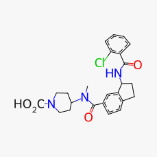 CN(C(=O)c1ccc2c(c1)C(NC(=O)c1ccccc1Cl)CC2)C1CCN(C(=O)O)CC1